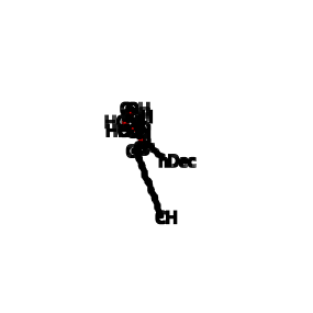 C#CC#CC#CC#CC#CC#CC#CC#CC(=O)OC[C@H](COP(=O)(O)OC1C(O)[C@H](O)[C@H](O)C(OP(=O)(O)O)[C@@H]1O)OC(=O)CCCCCCCCCCCCCCC